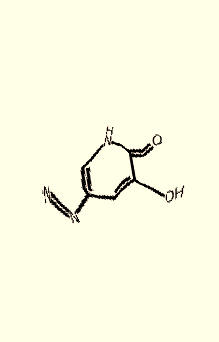 [N]=Nc1c[nH]c(=O)c(O)c1